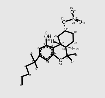 CCCCC(C)(C)c1cc(O)c2c(c1)OC(C)(C)[C@@H]1CC[C@@H](O[N+](=O)[O-])C[C@@H]21